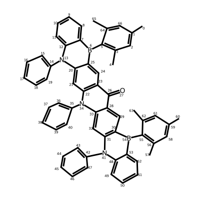 Cc1cc(C)c(B2c3ccccc3N(c3ccccc3)c3cc4c(cc32)c(=O)c2cc3c(cc2n4-c2ccccc2)N(c2ccccc2)c2ccccc2B3c2c(C)cc(C)cc2C)c(C)c1